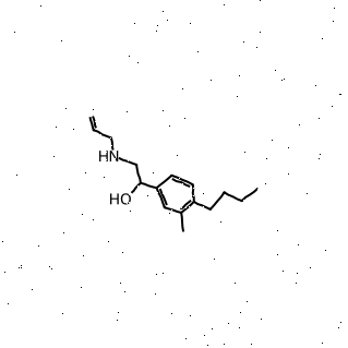 C=CCNCC(O)c1ccc(CCCC)c(C)c1